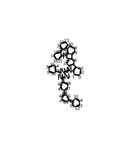 C1=Cc2c(c3cc4c5ccccc5n(-c5ccccc5-c5ccccc5)c4cc3n2-c2nc(-c3ccccc3)nc(-c3ccc(-c4cccc(-c5ccccc5)c4)cc3)n2)CC1